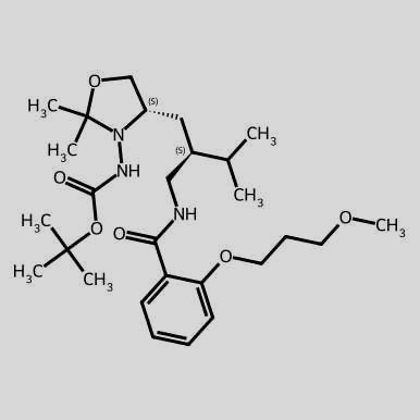 COCCCOc1ccccc1C(=O)NC[C@@H](C[C@H]1COC(C)(C)N1NC(=O)OC(C)(C)C)C(C)C